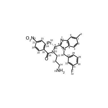 Cc1ccc2c(c1)nc([C@@H](C(C)C)N(CCCN)C(=O)c1ccc([N+](=O)[O-])cc1)n2Cc1cccc(F)c1